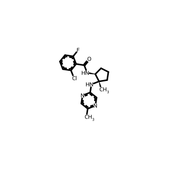 Cc1cnc(N[C@@]2(C)CCC[C@@H]2NC(=O)c2c(F)cccc2Cl)cn1